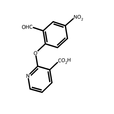 O=Cc1cc([N+](=O)[O-])ccc1Oc1ncccc1C(=O)O